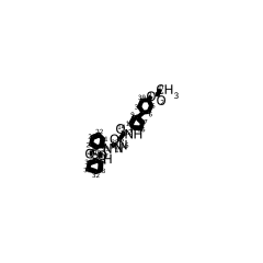 CC(=O)OC1CCC(c2ccc(NC(=O)c3nnc(Nc4ccccc4S(=O)(=O)c4ccccc4)o3)cc2)CC1